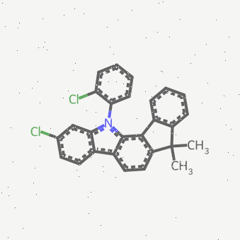 CC1(C)c2ccccc2-c2c1ccc1c3ccc(Cl)cc3n(-c3ccccc3Cl)c21